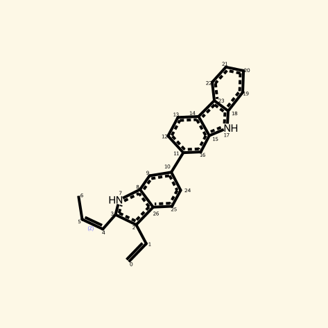 C=Cc1c(/C=C\C)[nH]c2cc(-c3ccc4c(c3)[nH]c3ccccc34)ccc12